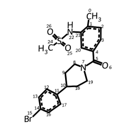 Cc1ccc(C(=O)N2CCC(c3ccc(Br)cc3)CC2)cc1NS(C)(=O)=O